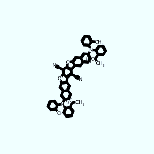 Cc1ccccc1N(c1ccc2cc3c(cc2c1)oc1c(C#N)c2oc4cc5cc(N(c6ccccc6C)c6ccccc6C(C)C)ccc5cc4c2c(C#N)c13)c1ccccc1C(C)C